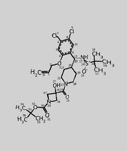 C=CCOc1cc(Cl)c(Cl)cc1[C@H](N[S@@+]([O-])C(C)(C)C)C1CCN(C(=O)C2(O)CN(C(=O)OC(C)(C)C)C2)CC1